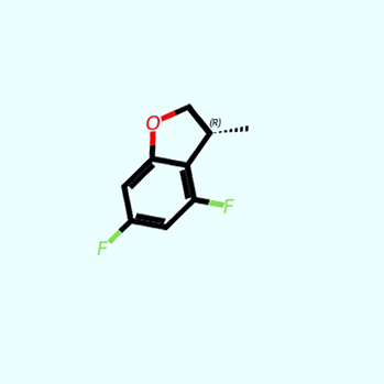 C[C@H]1COc2cc(F)cc(F)c21